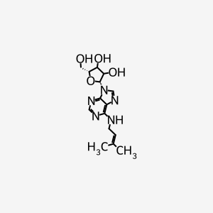 CC(C)=CCNc1ncnc2c1ncn2[C@@H]1O[C@H](CO)C(O)C1O